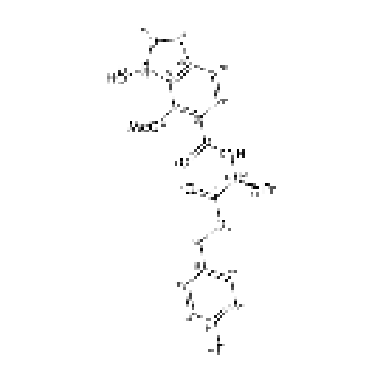 COc1c(C(=O)N[C@H](C(=O)OCc2ccc(F)cc2)C(C)C)ccc2c1B(O)OC2